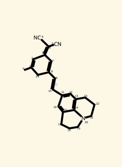 CC1=CC(=C(C#N)C#N)C=C(/C=C/c2cc3c4c(c2)CCCN4CCC3)C1